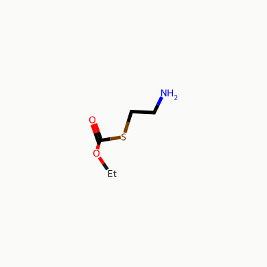 CCOC(=O)SCCN